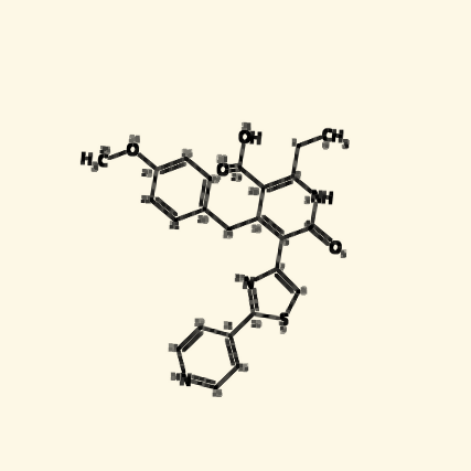 CCc1[nH]c(=O)c(-c2csc(-c3ccncc3)n2)c(Cc2ccc(OC)cc2)c1C(=O)O